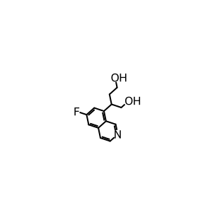 OCCC(CO)c1cc(F)cc2ccncc12